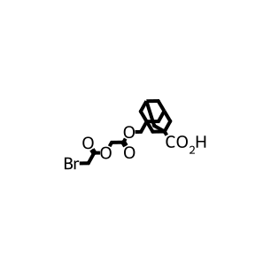 O=C(CBr)OCC(=O)OCC12CC3CC(C1)CC(C(=O)O)(C3)C2